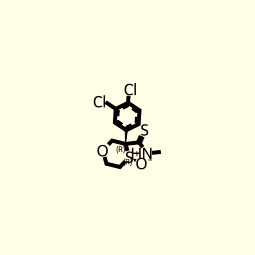 CNC(=S)[C@@]1(c2ccc(Cl)c(Cl)c2)COCC[S@+]1[O-]